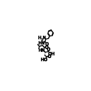 CC(C)[C@H](NC(=O)[C@H](N)Cc1ccccc1)C(=O)N[C@@H](CC(=O)O)C(=O)O